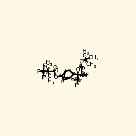 CC(C)(C)OC(=O)OC(C1CC2CC1CC2OC(=O)C(C)(C)C(F)(F)F)(C(F)(F)F)C(F)(F)F